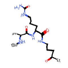 CCC(=O)CCCNC(=O)C(CCCNC(N)=O)NC(=O)C(NC(C)(C)C)C(C)C